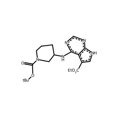 CCOC(=O)c1c[nH]c2ncnc(NC3CCCN(C(=O)OC(C)(C)C)C3)c12